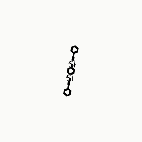 C[Si](C)(C#Cc1ccccc1)c1ccc([Si](C)(C)C#Cc2ccccc2)cc1